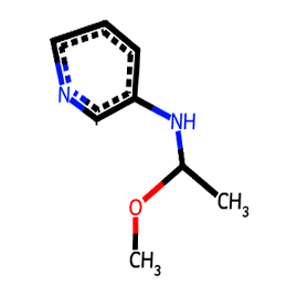 COC(C)Nc1[c]nccc1